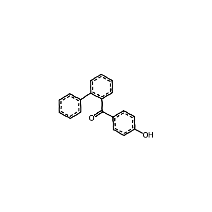 O=C(c1ccc(O)cc1)c1ccccc1-c1ccccc1